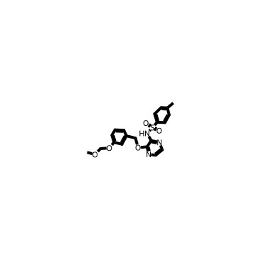 COCOc1cccc(COc2nccnc2NS(=O)(=O)c2ccc(C)cc2)c1